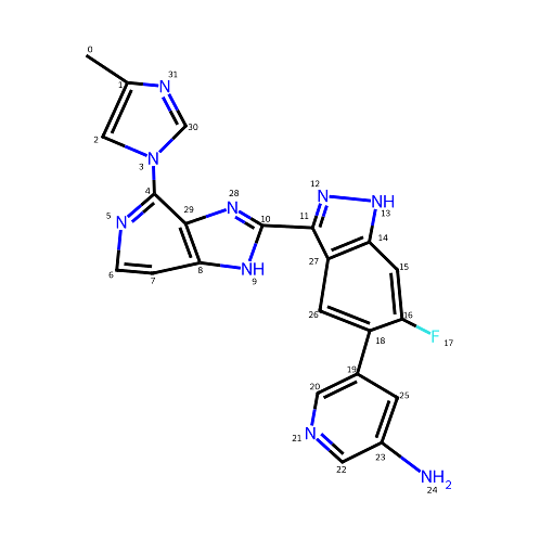 Cc1cn(-c2nccc3[nH]c(-c4n[nH]c5cc(F)c(-c6cncc(N)c6)cc45)nc23)cn1